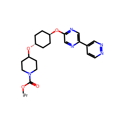 CC(C)OC(=O)N1CCC(O[C@H]2CC[C@H](Oc3cnc(-c4ccnnc4)cn3)CC2)CC1